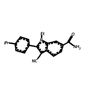 CCn1c(-c2ccc(C(C)C)cc2)c(C#N)c2ccc(C(N)=O)cc21